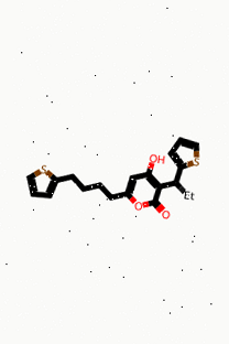 CCC(c1cccs1)c1c(O)cc(CCCCc2cccs2)oc1=O